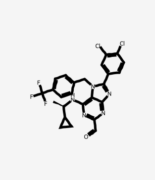 C[C@@H](Nc1nc(C=O)nc2nc(-c3ccc(Cl)c(Cl)c3)n(Cc3ccc(C(F)(F)F)cc3)c12)C1CC1